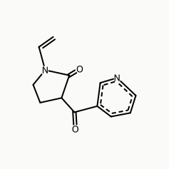 C=CN1CCC(C(=O)c2cccnc2)C1=O